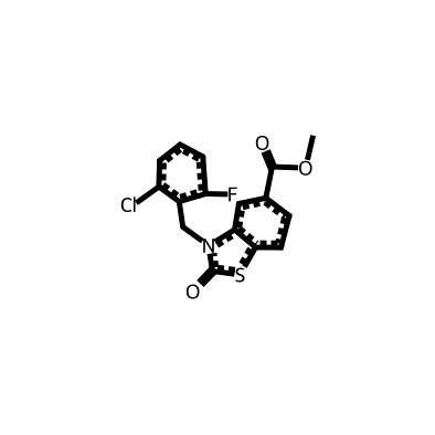 COC(=O)c1ccc2sc(=O)n(Cc3c(F)cccc3Cl)c2c1